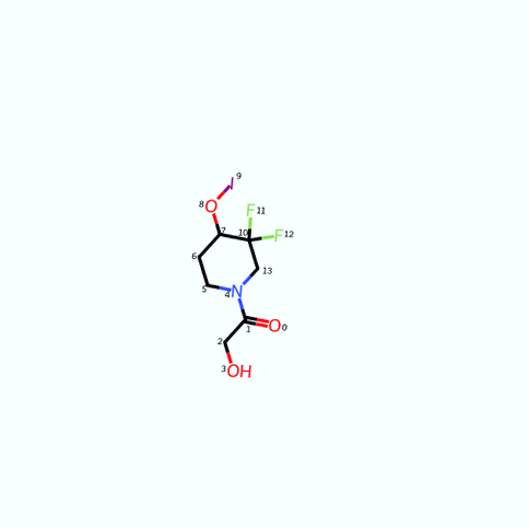 O=C(CO)N1CCC(OI)C(F)(F)C1